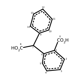 O=C(O)c1ccccc1C(C(=O)O)c1ccccc1